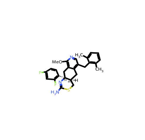 COc1ncc(Cc2c(C)cccc2C)c2c1C[C@]1(c3ccc(F)cc3F)N=C(N)SC[C@@H]1C2